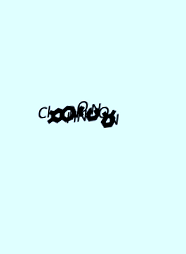 Cc1cc2c(cc1Cl)CCN(C(=O)Nc1ccc(Oc3cccnc3C)nc1)CC2